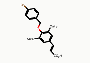 COc1cc(C=CC(=O)O)cc(OC)c1OCc1ccc(Br)cc1